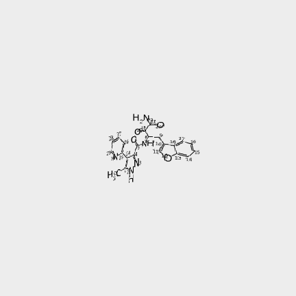 Cc1[nH]nc(C(=O)NC(Cc2coc3ccccc23)C(=O)C(N)=O)c1-c1ccccn1